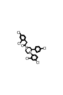 O=C(Cc1ccc(Cl)cc1Cl)N1CCN(c2ccc(Cl)cc2Cl)C(c2ccc(Cl)cc2)C1